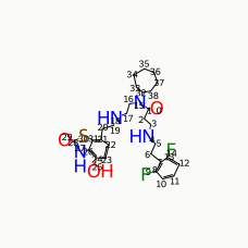 O=C(CCNCCc1c(F)cccc1F)N(CCNCCc1ccc(O)c2[nH]c(=O)sc12)C1CCCCCC1